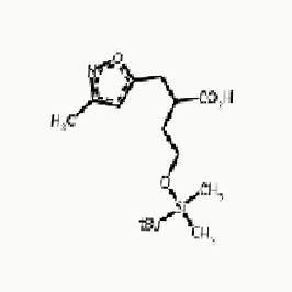 Cc1cc(CC(CCO[Si](C)(C)C(C)(C)C)C(=O)O)on1